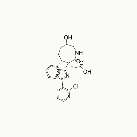 O=C(O)C[C@@]1(c2nc(-c3ccccc3Cl)cs2)C(=O)NCC(O)CC[C@H]1c1ccccc1